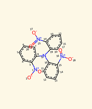 O=[N+]([O-])c1ccccc1N(c1ccccc1[N+](=O)[O-])c1ccccc1[N+](=O)[O-]